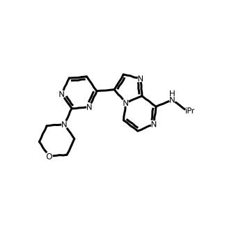 CC(C)Nc1nccn2c(-c3ccnc(N4CCOCC4)n3)cnc12